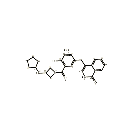 Cl.O=C(c1cc(Cc2n[nH]c(=O)c3ccccc23)ccc1F)N1CC(NC2CCCC2)C1